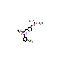 Cc1oc(-c2cccc(C(F)(F)F)c2)nc1CC1CCCC(COC(C)C(=O)O)C1